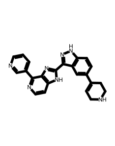 C1=C(c2ccc3[nH]nc(-c4nc5c(-c6cccnc6)nccc5[nH]4)c3c2)CCNC1